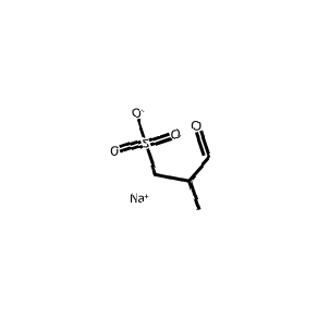 CC(C=O)CS(=O)(=O)[O-].[Na+]